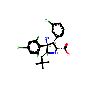 CC(C)(C)C[C@@H]1N[C@@H](C(=O)O)[C@H](c2cccc(Cl)c2)[C@@]1(N)c1c(F)cc(Cl)cc1F